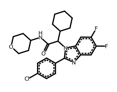 O=C(NC1CCOCC1)C(C1CCCCC1)n1c(-c2ccc(Cl)cc2)nc2cc(F)c(F)cc21